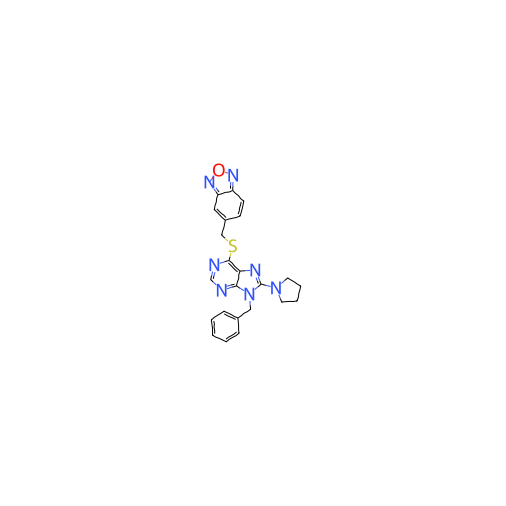 c1ccc(Cn2c(N3CCCC3)nc3c(SCc4ccc5nonc5c4)ncnc32)cc1